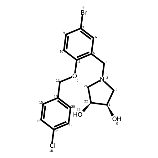 O[C@@H]1CN(Cc2cc(Br)ccc2OCc2ccc(Cl)cc2)C[C@@H]1O